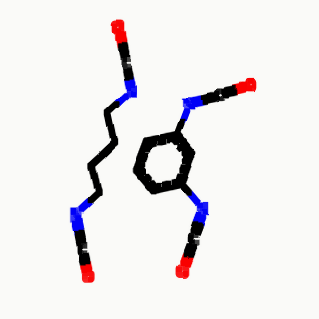 O=C=NCCCCN=C=O.O=C=Nc1cccc(N=C=O)c1